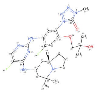 Cn1nnn(-c2cc(Nc3ncc(F)c(N[C@@H]4C[C@@H]5CCCN5C(C)(C)C4)n3)c(F)cc2OCC(C)(C)O)c1=O